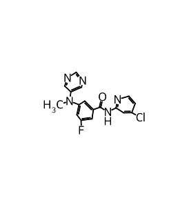 CN(c1cncnc1)c1cc(F)cc(C(=O)Nc2cc(Cl)ccn2)c1